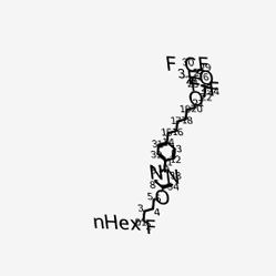 CCCCCC[C@@H](F)CCCOc1cnc(-c2ccc(CCCCCCOCC(F)(F)OC(F)(F)C(F)(F)F)cc2)nc1